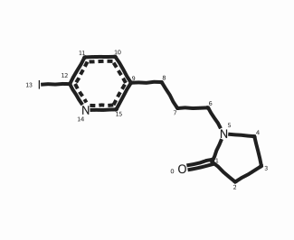 O=C1CCCN1CCCc1ccc(I)nc1